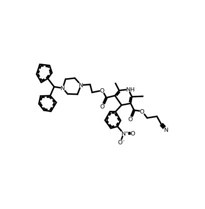 CC1=C(C(=O)OCCC#N)C(c2cccc([N+](=O)[O-])c2)C(C(=O)OCCN2CCN(C(c3ccccc3)c3ccccc3)CC2)=C(C)N1